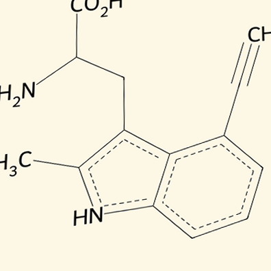 C#Cc1cccc2[nH]c(C)c(CC(N)C(=O)O)c12